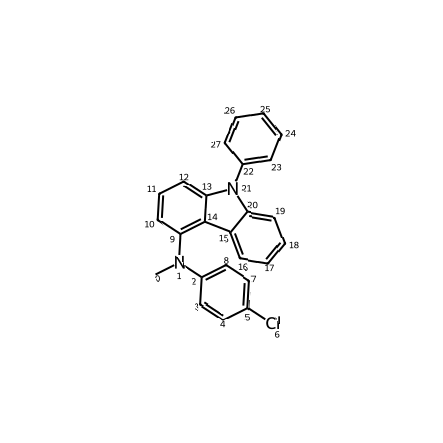 CN(c1ccc(Cl)cc1)c1cccc2c1c1ccccc1n2-c1ccccc1